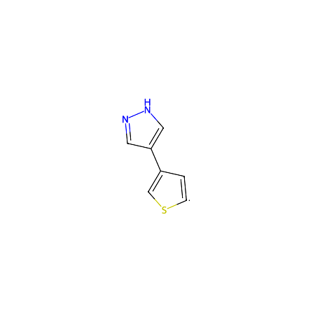 [c]1cc(-c2cn[nH]c2)cs1